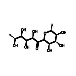 C[C@@H](O)[C@@H](O)[C@H](O)[C@@H](O)C(=O)C1O[C@H](C)[C@@H](O)[C@H](O)[C@H]1O